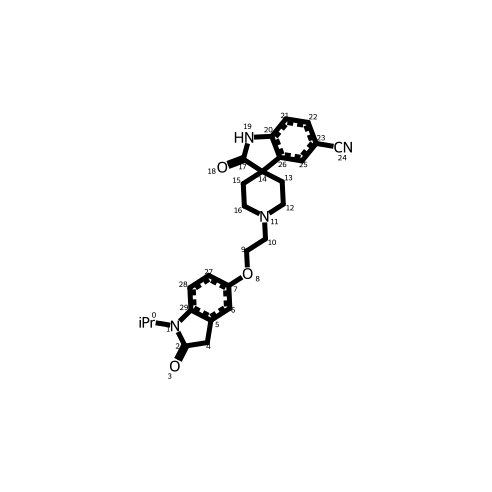 CC(C)N1C(=O)Cc2cc(OCCN3CCC4(CC3)C(=O)Nc3ccc(C#N)cc34)ccc21